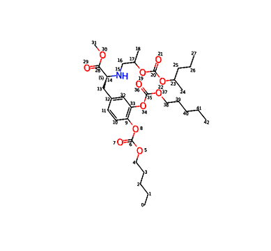 CCCCCOC(=O)Oc1ccc(C[C@H](NCC(C)OC(=O)OC(C)CCC)C(=O)OC)cc1OC(=O)OCCCCC